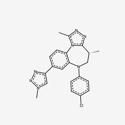 Cc1nnc2n1-c1ccc(-c3cn(C)nn3)cc1N(c1ccc(Cl)cc1)C[C@H]2C